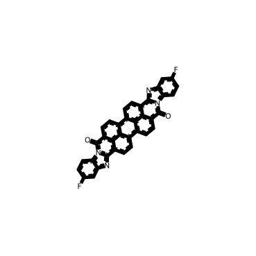 O=c1c2ccc3c4ccc5c6c(ccc(c7ccc(c2c37)c2nc3cc(F)ccc3n12)c46)c(=O)n1c2ccc(F)cc2nc51